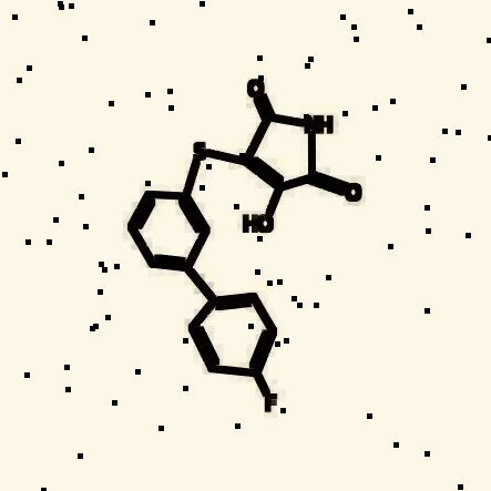 O=C1NC(=O)C(Sc2cccc(-c3ccc(F)cc3)c2)=C1O